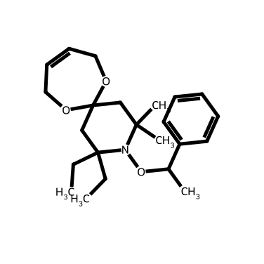 CCC1(CC)CC2(CC(C)(C)N1OC(C)c1ccccc1)OCC=CCO2